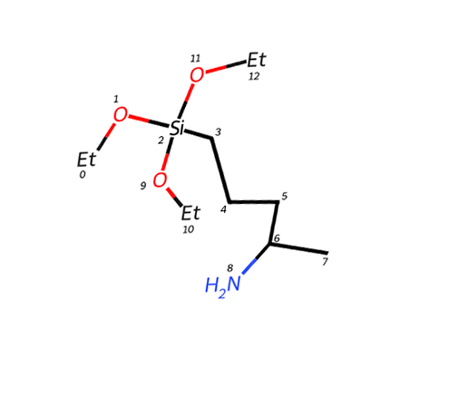 CCO[Si](CCCC(C)N)(OCC)OCC